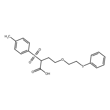 Cc1ccc(S(=O)(=O)C(CCOCCSc2ccccc2)C(=O)O)cc1